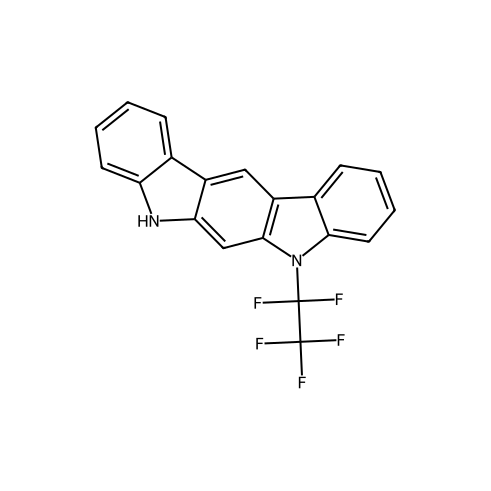 FC(F)(F)C(F)(F)n1c2ccccc2c2cc3c(cc21)[nH]c1ccccc13